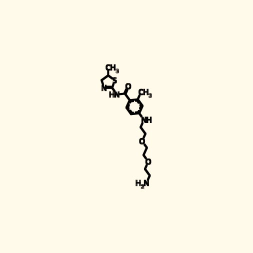 Cc1cc(NCCOCCOCCN)ccc1C(=O)NC1=NCC(C)S1